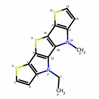 CCn1c2ccsc2c2sc3c4sccc4n(C)c3c21